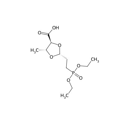 CCOP(=O)(CC[C@H]1O[C@H](C(=O)O)[C@@H](C)O1)OCC